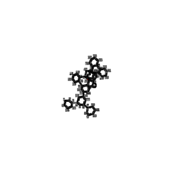 c1ccc(-c2cc(-c3ccccc3)cc(-c3cc(-c4ccccc4-c4ccc5c6ccccc6c6ccccc6c5c4)c4c(c3)oc3ccccc34)c2)cc1